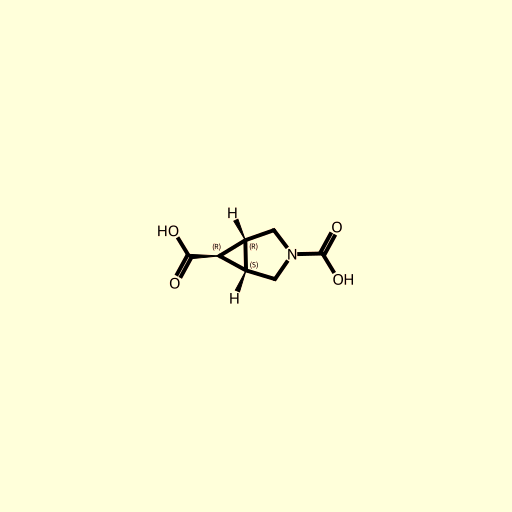 O=C(O)[C@H]1[C@@H]2CN(C(=O)O)C[C@@H]21